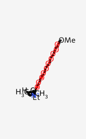 CC[N+]1=C(C)C(C)(CCOCCOCCOCCOCCOCCOCCOCCOCCOCCOCCOC)c2cc(C)ccc21